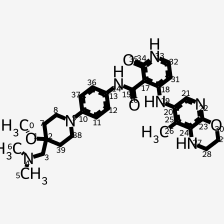 COC1(CN(C)C)CCN(c2ccc(NC(=O)c3c(Nc4cnc5c(c4C)NCCO5)cc[nH]c3=O)cc2)CC1